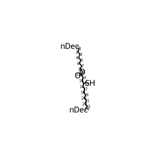 CCCCCCCCCCCCCCCCCCOC(=O)CCC(S)CCCCCCCCCCCCCCCCCC